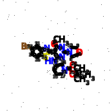 COc1nc(N2CCOCC2)nc(N[C@@H]2CCCN(C(=O)OC(C)(C)C)C2)c1-c1nc2cc(Br)ccc2s1